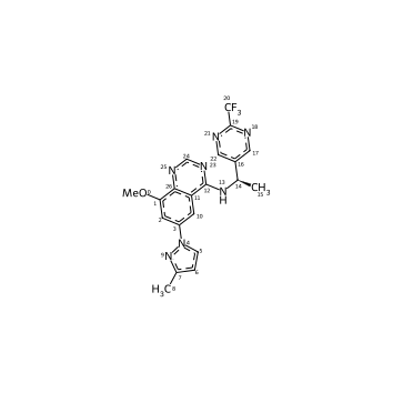 COc1cc(-n2ccc(C)n2)cc2c(N[C@H](C)c3cnc(C(F)(F)F)nc3)ncnc12